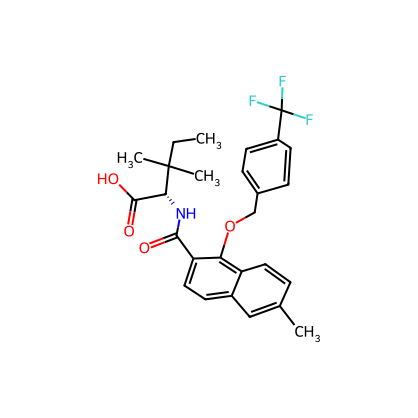 CCC(C)(C)[C@H](NC(=O)c1ccc2cc(C)ccc2c1OCc1ccc(C(F)(F)F)cc1)C(=O)O